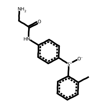 Cc1ccccc1[S+]([O-])c1ccc(NC(=O)CN)cc1